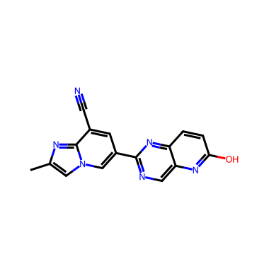 Cc1cn2cc(-c3ncc4nc(O)ccc4n3)cc(C#N)c2n1